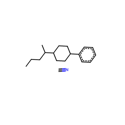 C#N.CCCC(C)C1CCC(c2ccccc2)CC1